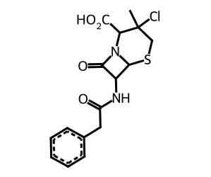 CC1(Cl)CSC2C(NC(=O)Cc3ccccc3)C(=O)N2C1C(=O)O